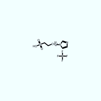 CCCS(=O)(=O)O.Cn1ccnc1.F[B-](F)(F)F